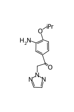 CC(C)Oc1ccc(C(=O)Cn2nccn2)cc1N